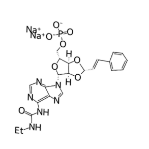 CCNC(=O)Nc1ncnc2c1ncn2[C@@H]1O[C@H](COP(=O)([O-])[O-])[C@H]2O[C@H](/C=C/c3ccccc3)O[C@H]21.[Na+].[Na+]